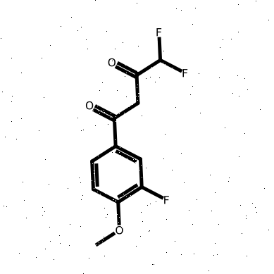 COc1ccc(C(=O)CC(=O)C(F)F)cc1F